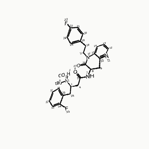 CC(C)(C)N(C(=O)O)[C@@H](CC(=O)NC1Cc2ncccc2N(CCc2ccc(F)cc2)C1=O)Cc1ccccc1F